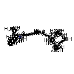 CO[C@H]1O[C@H](CO[C@H]2C[C@H](CO[C@H]3O[C@H](CO)[C@@H](O)[C@H](O)[C@H]3O)[C@@H](OCCCCCC(=O)NCc3cn(CCCCCCCC(=O)N/N=C(\CO)[C@]4(O)Cc5c(O)c6c(c(O)c5C(OC5CC(C)C(O)C(N)C5)C4)C(=O)c4c(C)cccc4C6=O)nn3)[C@H](O)[C@H]2O)[C@@H](OCCCCCC(=O)O)[C@H](O)[C@H]1O